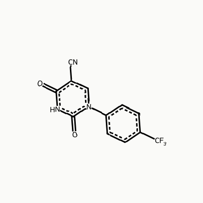 N#Cc1cn(-c2ccc(C(F)(F)F)cc2)c(=O)[nH]c1=O